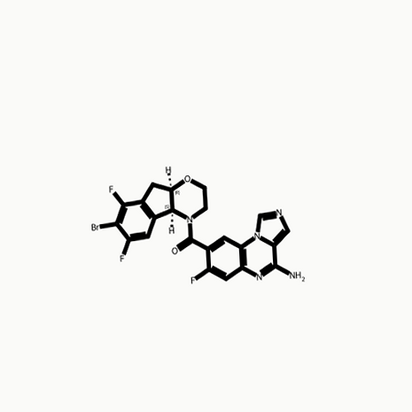 Nc1nc2cc(F)c(C(=O)N3CCO[C@@H]4Cc5c(cc(F)c(Br)c5F)[C@@H]43)cc2n2cncc12